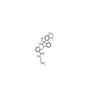 NCCNC(=O)c1cccnc1CN1C(=O)C2(COc3cc4c(cc32)OCCO4)c2ccccc21